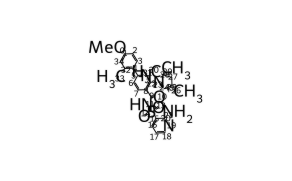 COc1ccc(-c2ccc(C(=O)NS(=O)(=O)c3cccnc3N)c(N3C[C@@H](C)CC3(C)C)n2)c(C)c1